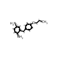 CCCOc1ccc(Cc2cc(N)ccc2N)cc1